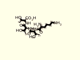 C[C@@H](O)[C@H](NC(=O)[C@@H](NC(=O)[C@@H](NC(=O)[C@@H](N)CCCCN)[C@@H](C)O)[C@@H](C)O)C(=O)O